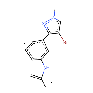 C=C(C)Nc1cccc(-c2nn(C)cc2Br)c1